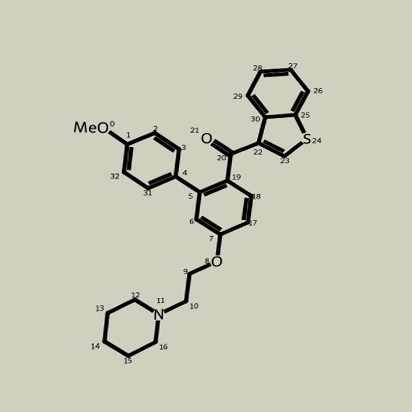 COc1ccc(-c2cc(OCCN3CCCCC3)ccc2C(=O)c2csc3ccccc23)cc1